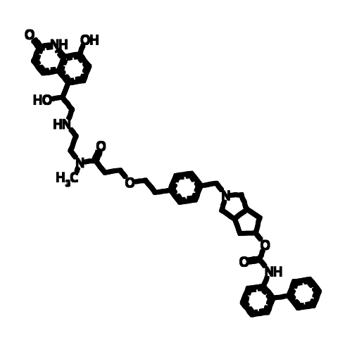 CN(CCNCC(O)c1ccc(O)c2[nH]c(=O)ccc12)C(=O)CCOCCc1ccc(CN2CC3CC(OC(=O)Nc4ccccc4-c4ccccc4)CC3C2)cc1